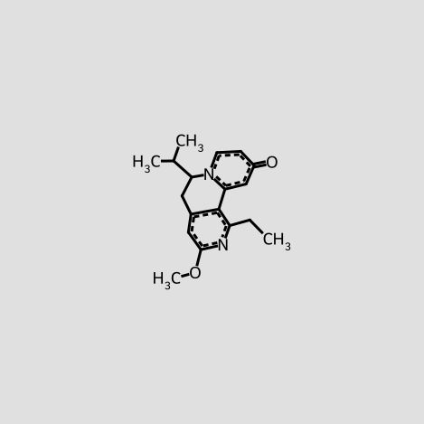 CCc1nc(OC)cc2c1-c1cc(=O)ccn1C(C(C)C)C2